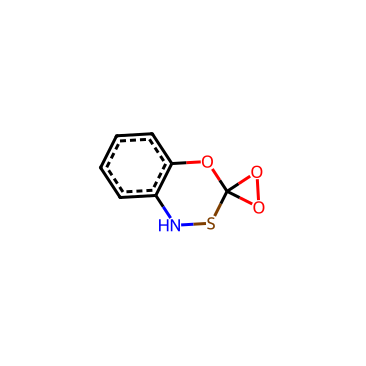 c1ccc2c(c1)NSC1(OO1)O2